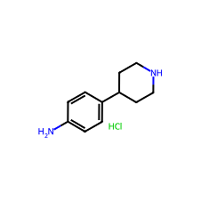 Cl.Nc1ccc(C2CCNCC2)cc1